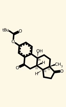 CC(C)(C)C(=O)Oc1ccc2c(c1)C(=O)C[C@H]1[C@@H]3CCC(=O)[C@@]3(C)CC[C@]21O